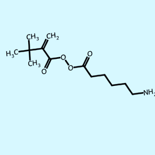 C=C(C(=O)OOC(=O)CCCCCN)C(C)(C)C